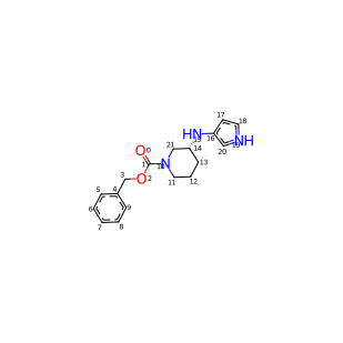 O=C(OCc1ccccc1)N1CCC[C@@H](Nc2cc[nH]c2)C1